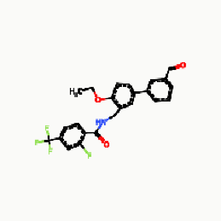 CCOc1ccc(-c2cccc(C=O)c2)cc1CNC(=O)c1ccc(C(F)(F)F)cc1F